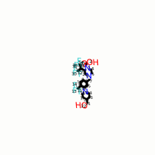 O=C(O)N1CCN(Cc2ccc(C(F)(F)F)c(N3CCC(CO)CC3)c2)CC1C(C(F)(F)F)C(F)(F)F